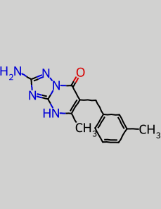 Cc1cccc(Cc2c(C)[nH]c3nc(N)nn3c2=O)c1